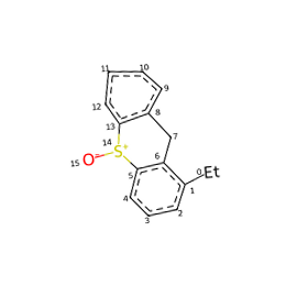 CCc1cccc2c1Cc1ccccc1[S+]2[O-]